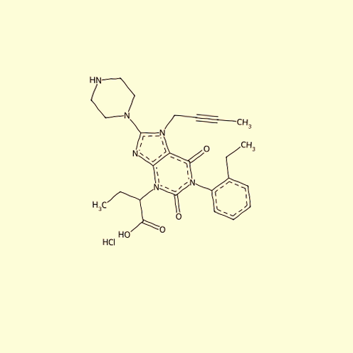 CC#CCn1c(N2CCNCC2)nc2c1c(=O)n(-c1ccccc1CC)c(=O)n2C(CC)C(=O)O.Cl